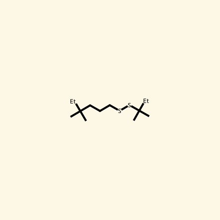 CCC(C)(C)CCCSSC(C)(C)CC